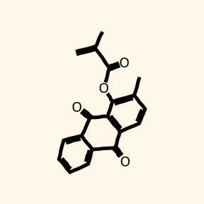 C=C(C)C(=O)Oc1c(C)ccc2c1C(=O)c1ccccc1C2=O